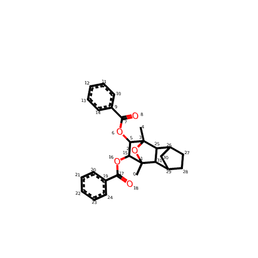 CC12OC(C)(C(OC(=O)c3ccccc3)C1OC(=O)c1ccccc1)C1C3CCC(C3)C12